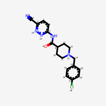 N#Cc1ccc(NC(=O)C2CCN(Cc3ccc(Cl)cc3)CC2)nn1